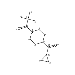 CC(C)(C)C(=O)N1CCC(C(=O)C2CC2)CC1